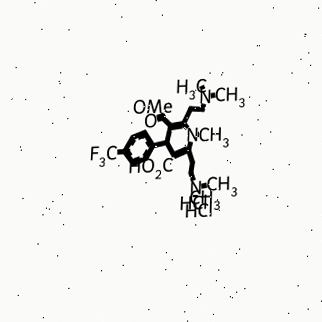 COC(=O)C1=C(CCN(C)C)N(C)C(CCN(C)C)=C(C(=O)O)C1c1ccc(C(F)(F)F)cc1.Cl.Cl